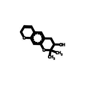 CC1(C)Oc2cc3c(cc2CC1O)C=CCO3